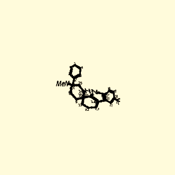 CNC1(c2ccccc2)CCC2(CCCc3c2[nH]c2ccc(F)cc32)CC1